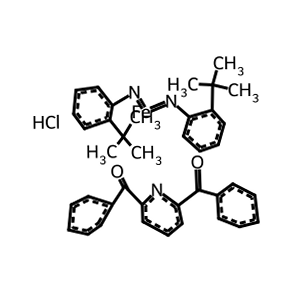 CC(C)(C)c1ccccc1[N]=[Fe]=[N]c1ccccc1C(C)(C)C.Cl.O=C(c1ccccc1)c1cccc(C(=O)c2ccccc2)n1